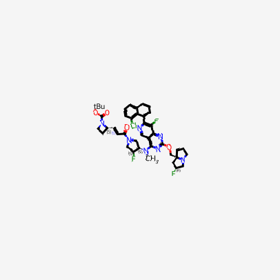 CN(c1nc(OC[C@@]23CCCN2C[C@H](F)C3)nc2c(F)c(-c3cccc4cccc(Cl)c34)ncc12)[C@H]1CN(C(=O)/C=C/[C@@H]2CCN2C(=O)OC(C)(C)C)C[C@@H]1F